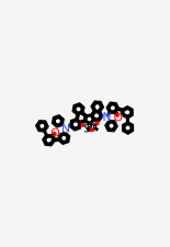 C[Si](C)(C)C1([Si](C)(C)C)c2cc(N(c3ccccc3)c3cccc4c3oc3c(-c5ccccc5)cccc34)c3ccccc3c2-c2c1c1ccc(N(c3ccccc3)c3cccc4c3oc3c(-c5ccccc5)cccc34)cc1c1ccccc21